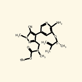 C=C(C)[C@@H](C)Oc1cc(-c2c(CN(C)C(=O)OC(C)(C)C)nn(C)c2C#N)cnc1N